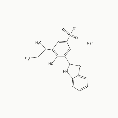 CCC(C)c1cc(S(=O)(=O)[O-])cc(C2Nc3ccccc3S2)c1O.[Na+]